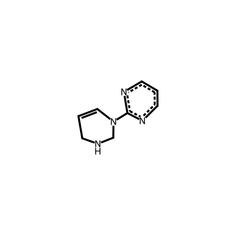 C1=CN(c2ncccn2)CNC1